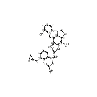 O=C(O)C[C@H](NC(=O)Nc1c(O)c2c(n(Cc3ccccc3Cl)c1=O)CCC2)c1cccc(OC2CC2)c1